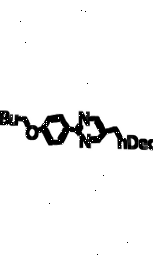 CCCCCCCCCCCc1cnc(-c2ccc(OCC(C)CC)cc2)nc1